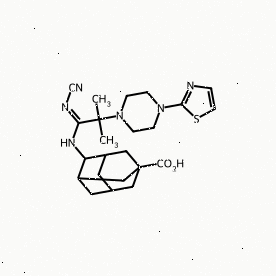 CC(C)(/C(=N\C#N)NC1C2CC3CC1CC(C(=O)O)(C3)C2)N1CCN(c2nccs2)CC1